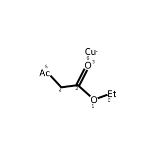 CCOC(=O)CC(C)=O.[Cu]